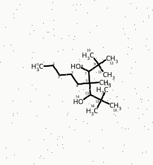 CCCCCC(C)(C(O)C(C)(C)C)C(O)C(C)(C)C